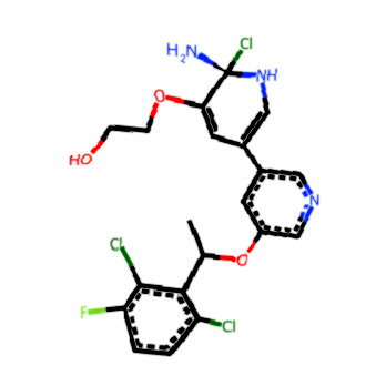 CC(Oc1cncc(C2=CN[C@@](N)(Cl)C(OCCO)=C2)c1)c1c(Cl)ccc(F)c1Cl